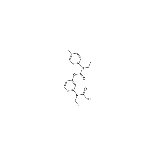 CCN(C(=O)O)c1cccc(OC(=O)N(CC)c2ccc(C)cc2)c1